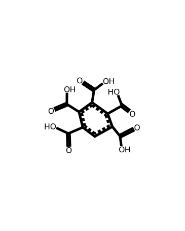 O=C(O)c1cc(C(=O)O)c(C(=O)O)c(C(=O)O)c1C(=O)O